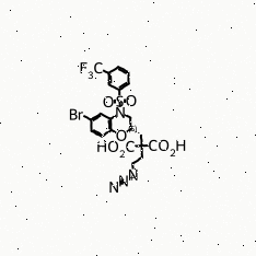 [N-]=[N+]=NCCC(C[C@H]1CN(S(=O)(=O)c2cccc(C(F)(F)F)c2)c2cc(Br)ccc2O1)(C(=O)O)C(=O)O